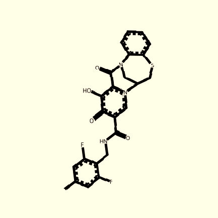 Cc1cc(F)c(CNC(=O)c2cn3c(c(O)c2=O)C(=O)N2CC3CSc3ccccc32)c(F)c1